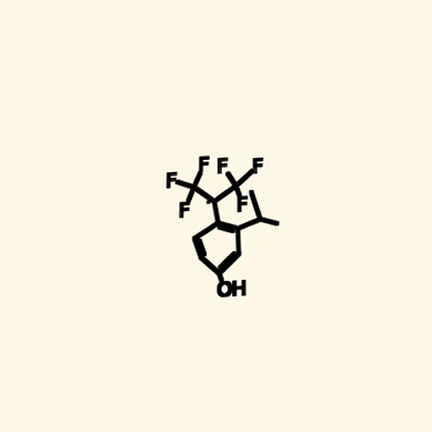 CC(C)c1cc(O)ccc1[C](C(F)(F)F)C(F)(F)F